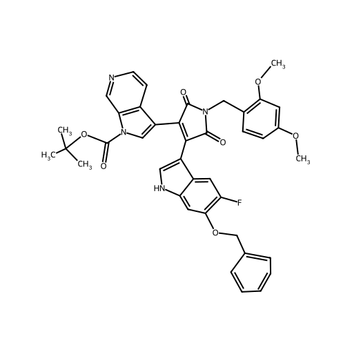 COc1ccc(CN2C(=O)C(c3c[nH]c4cc(OCc5ccccc5)c(F)cc34)=C(c3cn(C(=O)OC(C)(C)C)c4cnccc34)C2=O)c(OC)c1